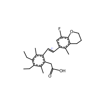 CCc1c(C)c(/C=C/c2cc(F)c3c(c2C)CCCO3)c(CC(=O)O)c(C)c1CC